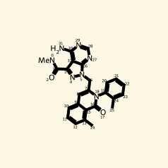 CNC(=O)c1nn(Cc2cc3cccc(C)c3c(=O)n2-c2ccccc2C)c2ncnc(N)c12